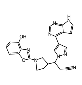 N#CCC(C1CCN(c2nc3c(O)cccc3o2)C1)n1cc(-c2ncnc3[nH]ccc23)cn1